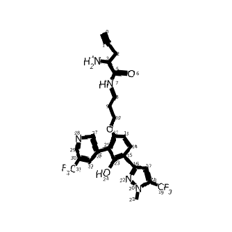 C#CCC(N)C(=O)NCCCOc1ccc(-c2cc(C(F)(F)F)n(C)n2)c(O)c1-c1cncc(C(F)(F)F)c1